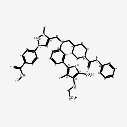 CCNC(=O)c1ccc(N2C=C(CN(CC3CCN(C(=O)Nc4ccccc4)CC3)c3cccc(-c4sc(C(=O)O)c(OCC(=O)O)c4Br)c3)N(C)N2)cc1